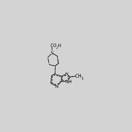 Cc1nc2c(C3CCN(C(=O)O)CC3)ccnc2[nH]1